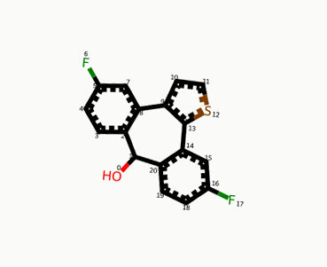 OC1c2ccc(F)cc2-c2ccsc2-c2cc(F)ccc21